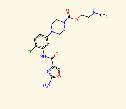 CNCCOC(=O)N1CCN(c2ccc(Cl)c(NC(=O)c3coc(N)n3)c2)CC1